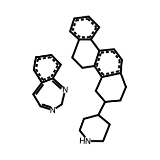 C1=NCN=c2ccccc2=C1.c1ccc2c(c1)CCc1c-2ccc2c1CC(C1CCNCC1)CC2